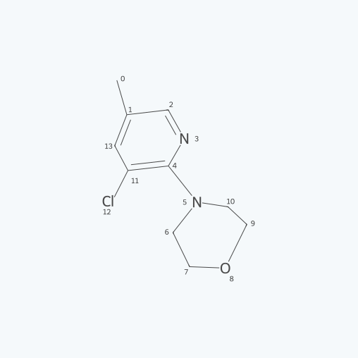 Cc1cnc(N2CCOCC2)c(Cl)c1